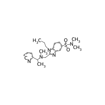 CCCn1c(CN(C)C(C)c2ccccn2)nc2cc(S(=O)(=O)N(C)C)ccc21